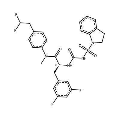 CN(C(=O)[C@H](Cc1cc(F)cc(F)c1)NC(=O)NS(=O)(=O)N1CCc2cccnc21)c1ccc(CC(F)F)cc1